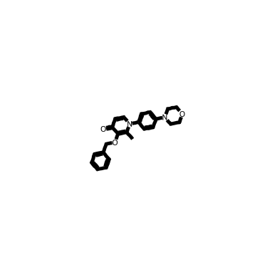 Cc1c(OCc2ccccc2)c(=O)ccn1-c1ccc(N2CCOCC2)cc1